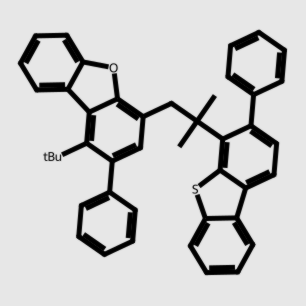 CC(C)(C)c1c(-c2ccccc2)cc(CC(C)(C)c2c(-c3ccccc3)ccc3c2sc2ccccc23)c2oc3ccccc3c12